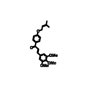 COc1cc(C=CC(=O)c2ccc(OCC=C(C)C)cc2)cc(OC)c1OC